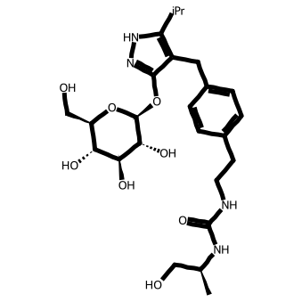 CC(C)c1[nH]nc(O[C@@H]2O[C@H](CO)[C@@H](O)[C@H](O)[C@H]2O)c1Cc1ccc(CCNC(=O)N[C@@H](C)CO)cc1